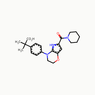 CC(C)(C(=O)O)c1ccc(N2CCOc3cc(C(=O)N4CCCCC4)[nH]c32)cc1